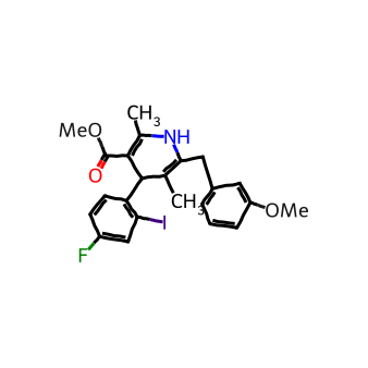 COC(=O)C1=C(C)NC(Cc2cccc(OC)c2)=C(C)C1c1ccc(F)cc1I